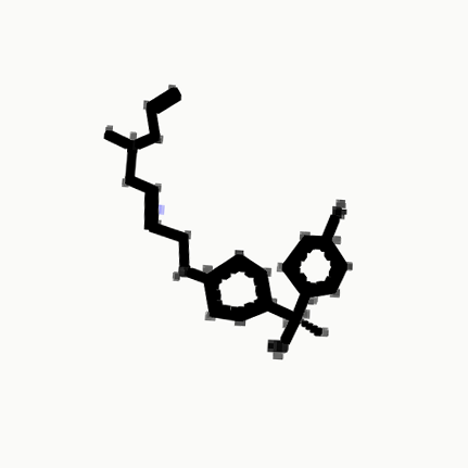 C=CCN(C)C/C=C/COc1ccc([C@](C)(O)c2ccc(Br)cc2)cc1